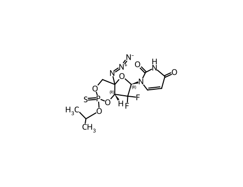 CC(C)OP1(=S)OCC2(N=[N+]=[N-])O[C@@H](n3ccc(=O)[nH]c3=O)C(F)(F)[C@@H]2O1